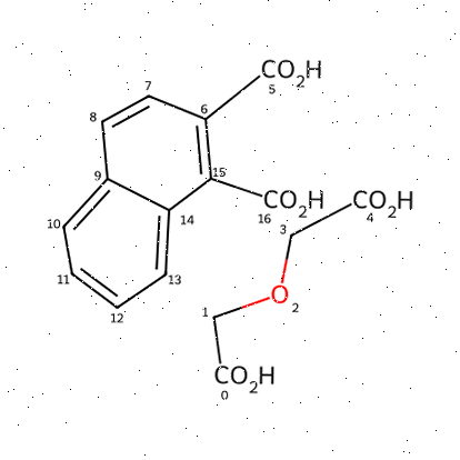 O=C(O)COCC(=O)O.O=C(O)c1ccc2ccccc2c1C(=O)O